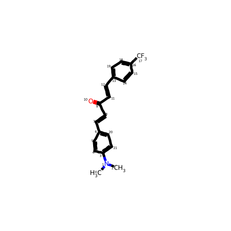 CN(C)c1ccc(C=CC(=O)C=Cc2ccc(C(F)(F)F)cc2)cc1